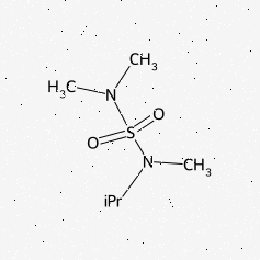 CC(C)N(C)S(=O)(=O)N(C)C